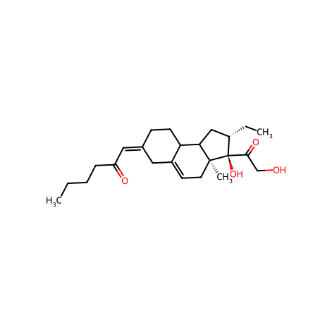 CCCCC(=O)/C=C1/CCC2C(=CC[C@@]3(C)C2C[C@H](CC)[C@]3(O)C(=O)CO)C1